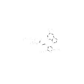 CCCCCS(=O)(=O)NC(=O)C=Cc1c(C)nn(C)c1-n1ccc2cc(C)cnc21